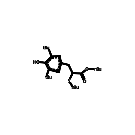 CCCCOC(=O)C(Cc1cc(C(C)(C)C)c(O)c(C(C)(C)C)c1)SCCCC